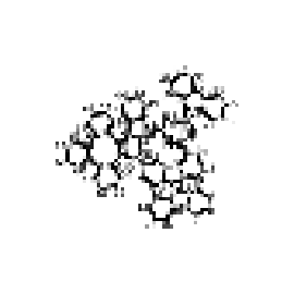 c1ccc([Si](c2ccccc2)(c2ccccc2)c2cccc(-c3nc(-n4c5ccccc5c5ccccc54)nc(-n4c5ccccc5c5c6c(ccc54)-c4ccccc4-c4ccccc4-c4ccccc4-6)n3)c2)cc1